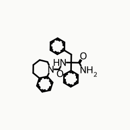 NC(=O)C(Cc1ccccc1)(NC(=O)N1CCCCc2ccccc21)c1ccccc1